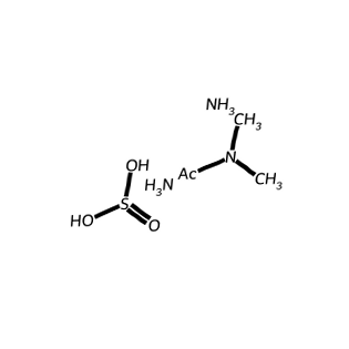 CC(=O)N(C)C.N.N.O=S(O)O